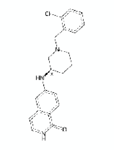 O=c1[nH]ccc2cc(N[C@@H]3CCCN(Cc4ccccc4Cl)C3)ccc12